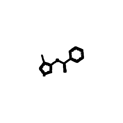 Cc1cscc1OC(=O)c1ccccc1